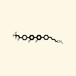 CCCCCC1CCC(c2ccc(-c3ccc(C4CCC(/C(F)=C/C(F)(F)F)CC4)c(F)c3)c(F)c2)CC1